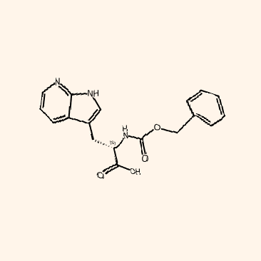 O=C(N[C@@H](Cc1c[nH]c2ncccc12)C(=O)O)OCc1ccccc1